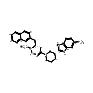 CC(C)(C)N(C(=O)O)[C@@H](CC(=O)N1CCC[C@@H](c2nc3cc([N+](=O)[O-])ccc3[nH]2)C1)Cc1ccc2ccccc2c1